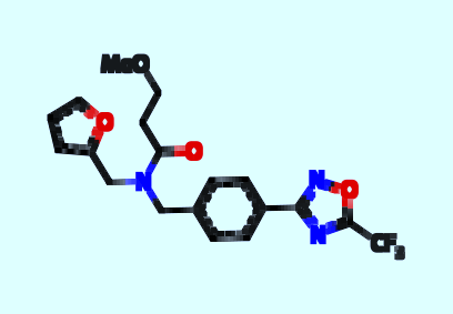 COCCC(=O)N(Cc1ccc(-c2noc(C(F)(F)F)n2)cc1)Cc1ccco1